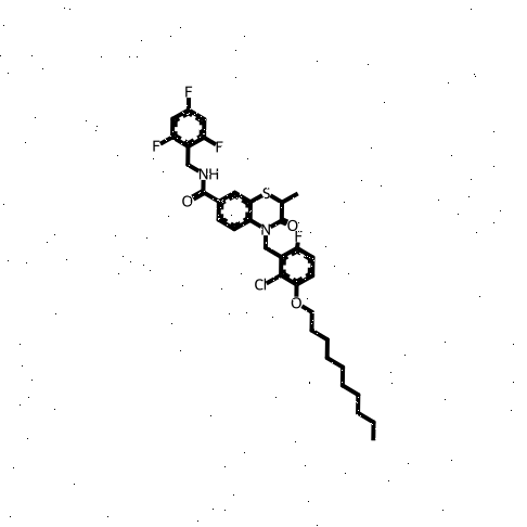 CCCCCCCCCCOc1ccc(F)c(CN2C(=O)C(C)Sc3cc(C(=O)NCc4c(F)cc(F)cc4F)ccc32)c1Cl